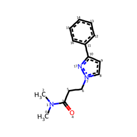 CN(C)C(=O)CCn1ccc(-c2ccccc2)n1